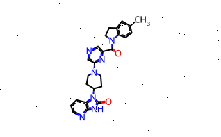 Cc1ccc2c(c1)CCN2C(=O)c1cncc(N2CCC(n3c(=O)[nH]c4ncccc43)CC2)n1